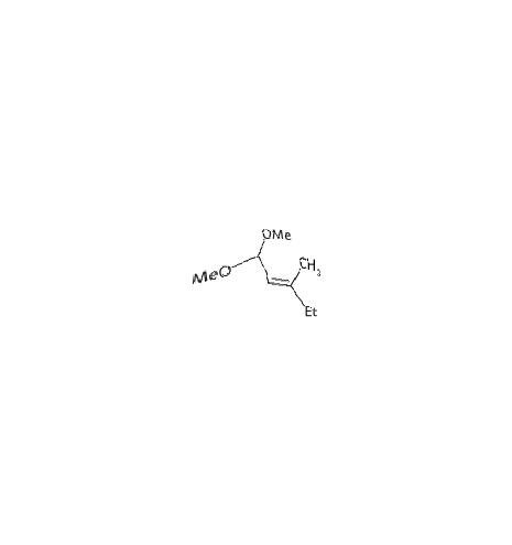 [CH2]CC(C)=CC(OC)OC